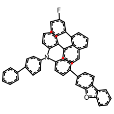 Fc1cccc(-c2cccc3cccc(-c4ccccc4N(c4ccc(-c5ccccc5)cc4)c4ccc(-c5ccc6c(c5)oc5ccccc56)cc4)c23)c1